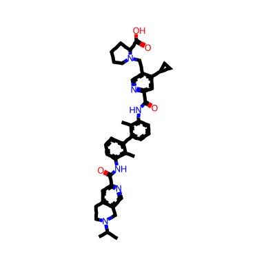 Cc1c(NC(=O)c2cc3c(cn2)CN(C(C)C)CC3)cccc1-c1cccc(NC(=O)c2cc(C3CC3)c(CN3CCCCC3C(=O)O)cn2)c1C